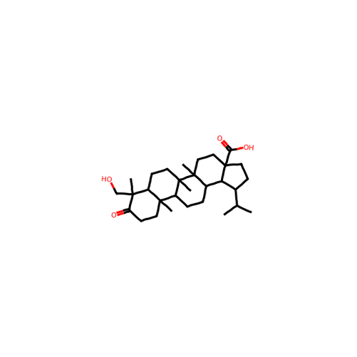 CC(C)C1CCC2(C(=O)O)CCC3(C)C(CCC4C5(C)CCC(=O)C(C)(CO)C5CCC43C)C12